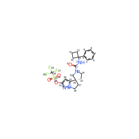 O=C(NC1(c2ccccc2)CCC1)N1CC[C@@]2(CCn3nc(OS(=O)(=O)C(F)(F)F)cc32)C1